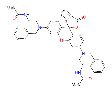 CNC(=O)NCCN(Cc1ccccc1)c1ccc2c(c1)Oc1cc(N(CCNC(=O)NC)Cc3ccccc3)ccc1C21OC(=O)c2ccccc21